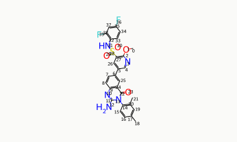 COc1ncc(-c2ccc3nc(N)n(-c4ccc(C)cc4C)c(=O)c3c2)cc1S(=O)(=O)Nc1ccc(F)cc1F